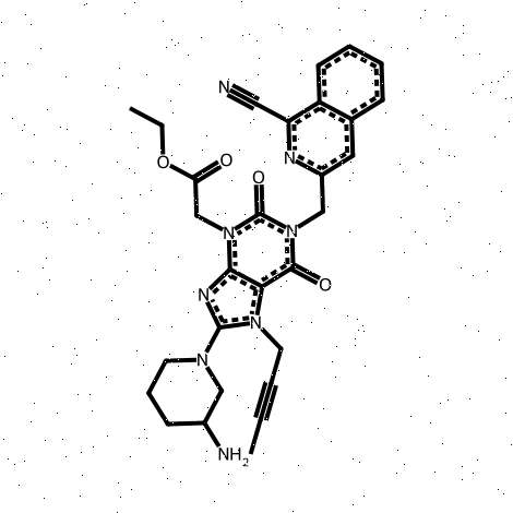 CC#CCn1c(N2CCCC(N)C2)nc2c1c(=O)n(Cc1cc3ccccc3c(C#N)n1)c(=O)n2CC(=O)OCC